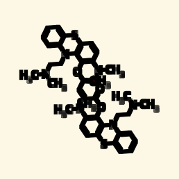 CN(C)CCN1c2ccccc2Sc2ccc(N(C)C)c(OC(=O)/C=C\C(=O)Oc3c(N(C)C)ccc4c3N(CCN(C)C)c3ccccc3S4)c21